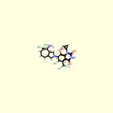 COC1=c2c(c(=O)[nH]c(=O)n2C2CC2)=C(C(F)F)C(F)C1N1CC2CCCC(F)(F)C(N)C2C1